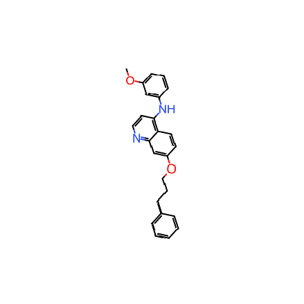 COc1cccc(Nc2ccnc3cc(OCCCc4ccccc4)ccc23)c1